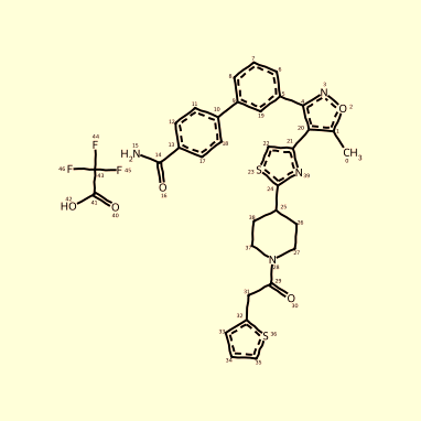 Cc1onc(-c2cccc(-c3ccc(C(N)=O)cc3)c2)c1-c1csc(C2CCN(C(=O)Cc3cccs3)CC2)n1.O=C(O)C(F)(F)F